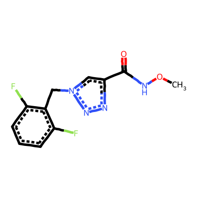 CONC(=O)c1cn(Cc2c(F)cccc2F)nn1